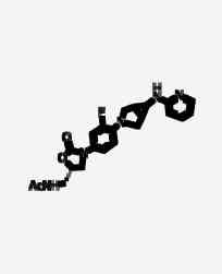 CC(=O)NC[C@H]1CN(c2ccc(N3CC4C(C3)C4Nc3ccccn3)c(F)c2)C(=O)O1